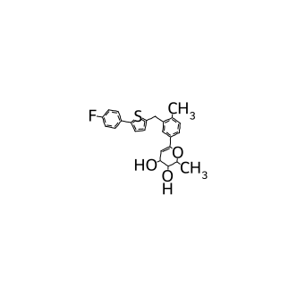 Cc1ccc(C2=CC(O)C(O)C(C)O2)cc1Cc1ccc(-c2ccc(F)cc2)s1